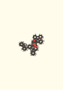 c1ccc2c(c1)-c1cccc(-c3ccc(N(c4ccc(-c5cccc6c5oc5ccccc56)cc4)c4cccc5c4oc4ccccc45)cc3)c1C21c2ccccc2-c2c1ccc1ccccc21